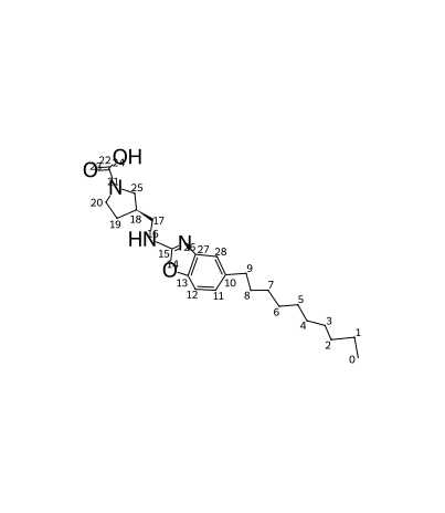 CCCCCCCCCCc1ccc2oc(NC[C@H]3CCN(C(=O)O)C3)nc2c1